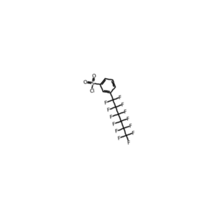 O=S(=O)(Cl)c1cccc(C(F)(F)C(F)(F)C(F)(F)C(F)(F)C(F)(F)C(F)(F)F)c1